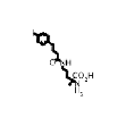 CC(N)(CCCNC(=O)CCCc1ccc(I)cc1)C(=O)O